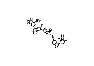 CC(C)c1cc(C2CC(C)(C)Oc3cc(-c4ccc(C(=O)NCC#Cc5ccc6occ(C7CCC(=O)NC7=O)c6c5)nc4)c(F)cc32)cc2c1n(C)c(=O)n2C